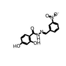 O=C(N/N=C/c1cccc([N+](=O)[O-])c1)c1ccc(O)cc1O